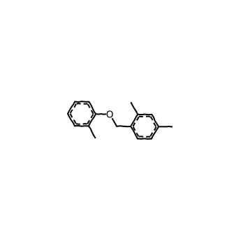 Cc1ccc(COc2ccccc2C)c(C)c1